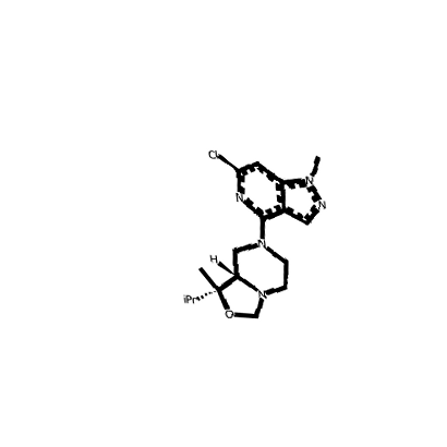 CC(C)[C@@]1(C)OCN2CCN(c3nc(Cl)cc4c3cnn4C)C[C@H]21